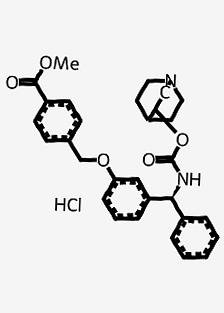 COC(=O)c1ccc(COc2cccc([C@@H](NC(=O)OC3CN4CCC3CC4)c3ccccc3)c2)cc1.Cl